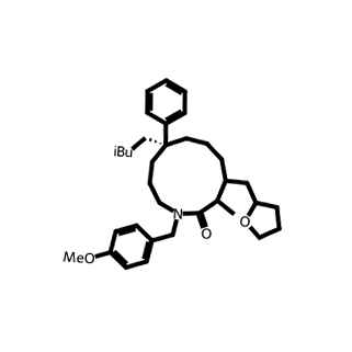 CCC(C)C[C@]1(c2ccccc2)CCCC(CC2CCCO2)C(C)C(=O)N(Cc2ccc(OC)cc2)CCC1